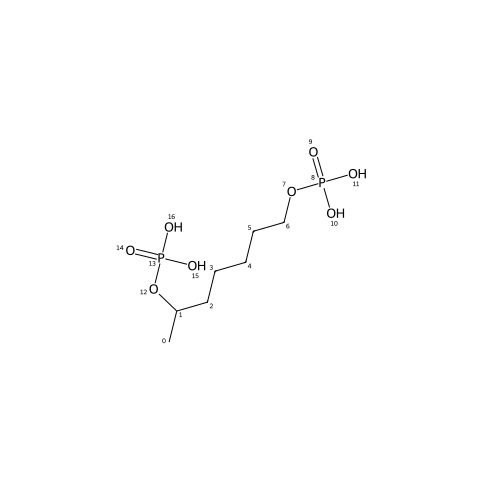 CC(CCCCCOP(=O)(O)O)OP(=O)(O)O